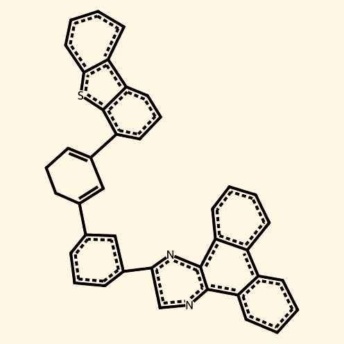 C1=C(c2cccc(-c3cnc4c5ccccc5c5ccccc5c4n3)c2)CCC=C1c1cccc2c1sc1ccccc12